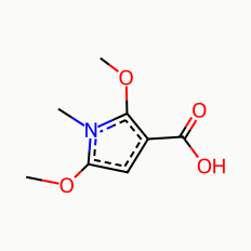 COc1cc(C(=O)O)c(OC)n1C